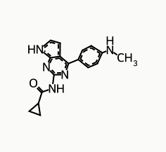 CNc1ccc(-c2nc(NC(=O)C3CC3)nc3[nH]ccc23)cc1